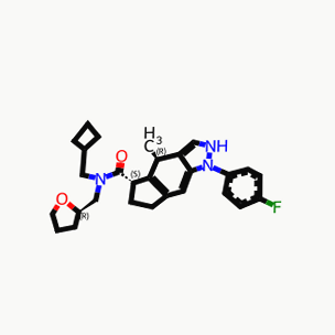 C[C@H]1C2=CNN(c3ccc(F)cc3)C2=CC2=C1[C@@H](C(=O)N(CC1CCC1)C[C@H]1CCCO1)CC2